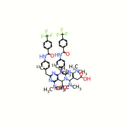 CN(C)C1=C(CC(=O)O)C(N(C)C)N(C(C(=O)O)c2c(N(C)C)nc(Cc3ccc(NC(=O)c4ccc(C(F)(F)F)cc4)c[13cH]3)nc2N(C)C)C(Cc2ccc(NC(=O)c3ccc(C(F)(F)F)cc3)c[13cH]2)=N1